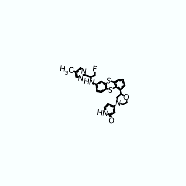 Cc1cnc(C(CF)Nc2ccc3c(c2)Sc2cccc(C4CN(c5cc[nH]c(=O)c5)CCO4)c2S3)nc1